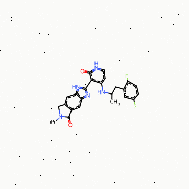 CC(Cc1cc(F)ccc1F)Nc1cc[nH]c(=O)c1-c1nc2cc3c(cc2[nH]1)CN(C(C)C)C3=O